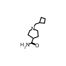 NC(=O)C1CCN(CC2CCC2)CC1